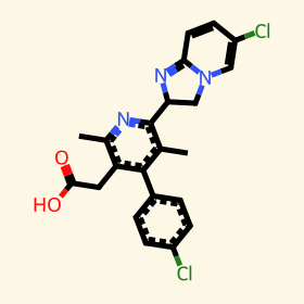 Cc1nc(C2CN3C=C(Cl)C=CC3=N2)c(C)c(-c2ccc(Cl)cc2)c1CC(=O)O